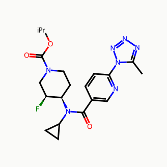 Cc1nnnn1-c1ccc(C(=O)N(C2CC2)[C@@H]2CCN(C(=O)OC(C)C)C[C@@H]2F)cn1